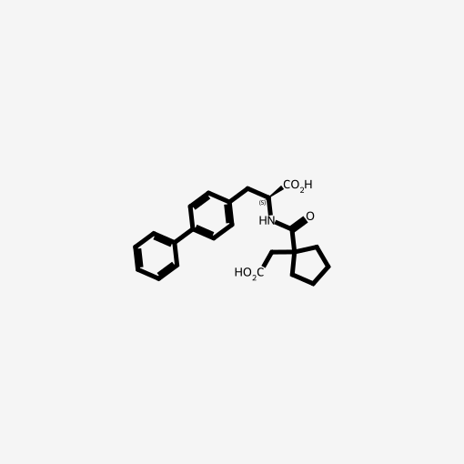 O=C(O)CC1(C(=O)N[C@@H](Cc2ccc(-c3ccccc3)cc2)C(=O)O)CCCC1